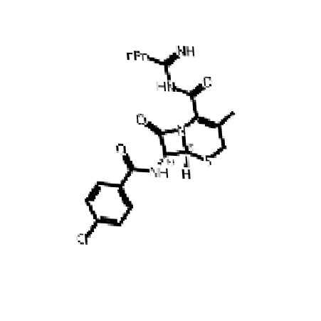 CCCC(=N)NC(=O)C1=C(C)CS[C@@H]2[C@H](NC(=O)c3ccc(Cl)cc3)C(=O)N12